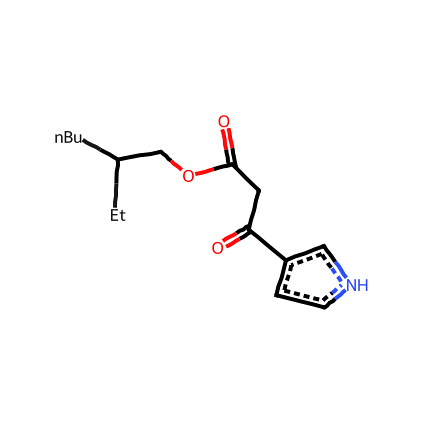 CCCCC(CC)COC(=O)CC(=O)c1cc[nH]c1